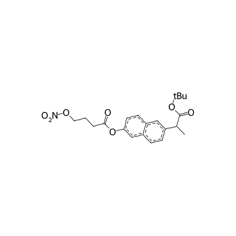 CC(C(=O)OC(C)(C)C)c1ccc2cc(OC(=O)CCCO[N+](=O)[O-])ccc2c1